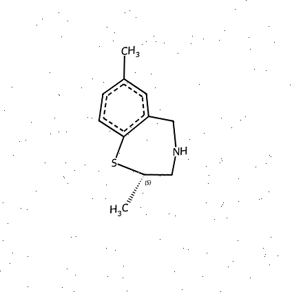 Cc1ccc2c(c1)CNC[C@H](C)S2